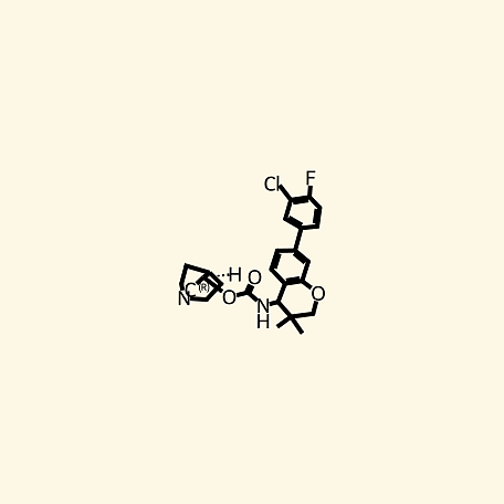 CC1(C)COc2cc(-c3ccc(F)c(Cl)c3)ccc2C1NC(=O)O[C@H]1CN2CCC1CC2